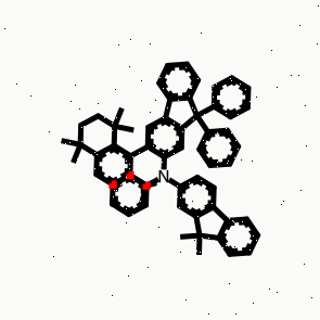 CC(C)c1ccc2c(c1-c1cc3c(cc1N(c1ccccc1)c1ccc4c(c1)C(C)(C)c1ccccc1-4)C(c1ccccc1)(c1ccccc1)c1ccccc1-3)C(C)(C)CCC2(C)C